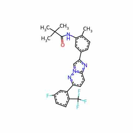 Cc1ccc(-c2cn3nc(-c4cc(F)ccc4C(F)(F)F)ccc3n2)cc1NC(=O)C(C)(C)C